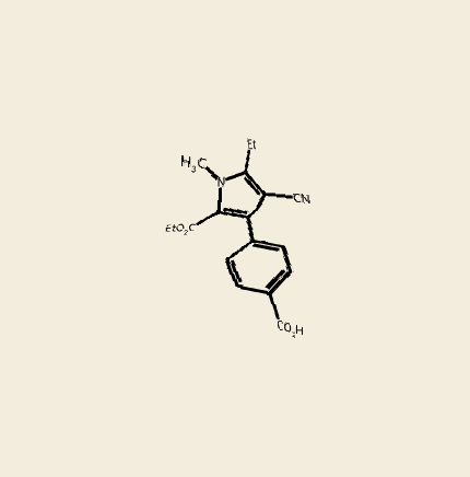 CCOC(=O)c1c(-c2ccc(C(=O)O)cc2)c(C#N)c(CC)n1C